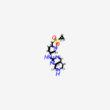 O=S(=O)(Cc1ccc(Nc2ncc3c(n2)CNCC3)cn1)C1CC1